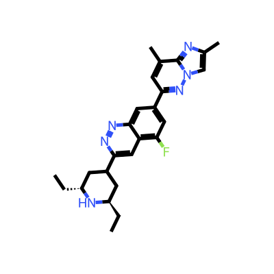 CC[C@@H]1CC(c2cc3c(F)cc(-c4cc(C)c5nc(C)cn5n4)cc3nn2)C[C@@H](CC)N1